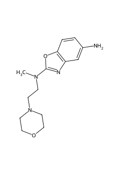 CN(CCN1CCOCC1)c1nc2cc(N)ccc2o1